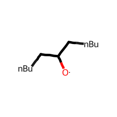 CCCCCC([O])CCCCC